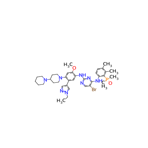 CCn1cc(-c2cc(Nc3ncc(Br)c(Nc4ccc(C)c(C)c4P(C)(C)=O)n3)c(OC)cc2N2CCC(N3CCCCC3)CC2)cn1